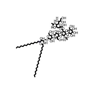 CCCCCCCCCCCCC/C=C/[C@@H](O)[C@H](CO[C@@H]1OC(CO)[C@@H](O[C@@H]2OC(CO)[C@H](O[C@@H]3OC(CO[C@]4(C(=O)O)CC(O)[C@@H](NC(C)=O)C([C@H](O)[C@H](O)CO)O4)[C@H](O)[C@H](O[C@@H]4OC(CO)[C@H](O)[C@H](O)C4O)C3NC(C)=O)[C@H](O)C2O)[C@H](O)C1O)NC(=O)CCCCCCCCCCCCCCCCCCC